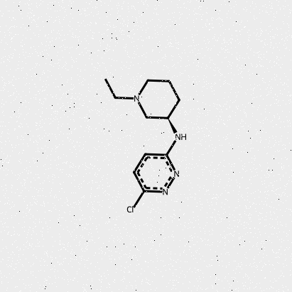 CCN1CCC[C@@H](Nc2ccc(Cl)nn2)C1